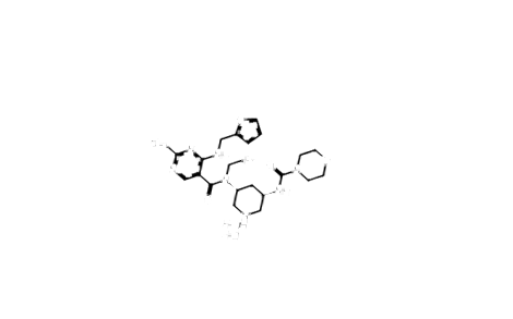 CC(C)CN(C(=O)c1cnc(C(C)(C)C)nc1NCc1ccco1)[C@@H]1CNC[C@H](NC(=O)N2CCOCC2)C1.Cl.Cl